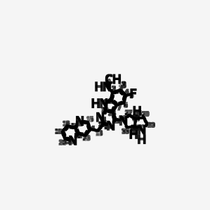 CNc1cc(F)cc2c1[nH]c1nc(Cc3cnc4cccnc4c3)nc(N3C[C@H]4CCN[C@H]4C3)c12